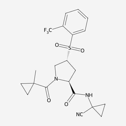 CC1(C(=O)N2C[C@H](S(=O)(=O)c3ccccc3C(F)(F)F)C[C@H]2C(=O)NC2(C#N)CC2)CC1